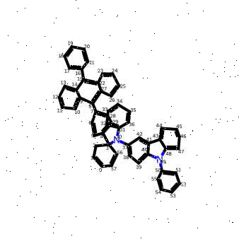 C1=CCC(c2ccc(-c3c4ccccc4c(-c4ccccc4)c4ccccc34)cc2)(N(c2ccccc2)c2ccc3c(c2)c2ccccc2n3-c2ccccc2)C=C1